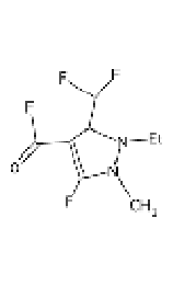 CCN1C(C(F)F)C(C(=O)F)=C(F)N1C